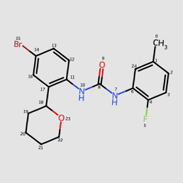 Cc1ccc(F)c(NC(=O)Nc2ccc(Br)cc2C2CCCCO2)c1